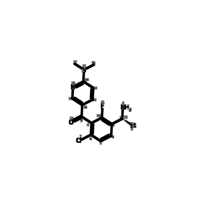 CC[C@@H](N)c1ccc(Cl)c(C(=O)c2ccc(N(C)C)nc2)c1F